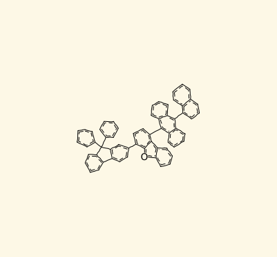 c1ccc(C2(c3ccccc3)c3ccccc3-c3ccc(-c4ccc(-c5c6ccccc6c(-c6cccc7ccccc67)c6ccccc56)c5c4oc4ccccc45)cc32)cc1